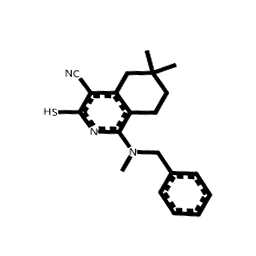 CN(Cc1ccccc1)c1nc(S)c(C#N)c2c1CCC(C)(C)C2